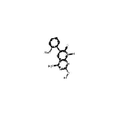 CCNc1nc(C)c2cc(-c3ccccc3OC)c(=O)n(CC)c2n1